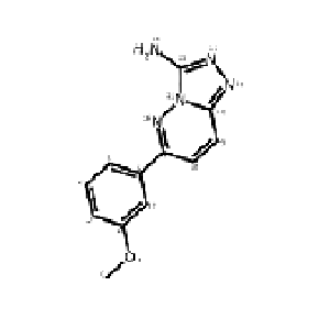 COc1cccc(-c2ccc3nnc(N)n3n2)c1